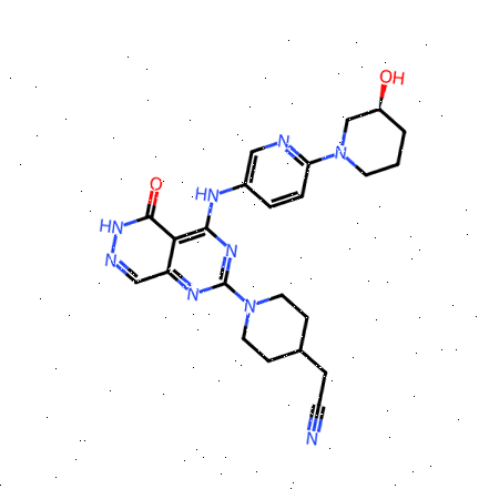 N#CCC1CCN(c2nc(Nc3ccc(N4CCC[C@H](O)C4)nc3)c3c(=O)[nH]ncc3n2)CC1